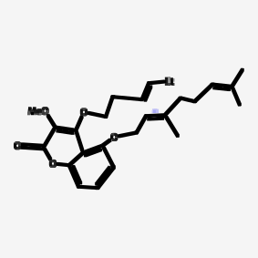 CCC=CCCOc1c(OC)c(=O)oc2cccc(OC/C=C(\C)CCC=C(C)C)c12